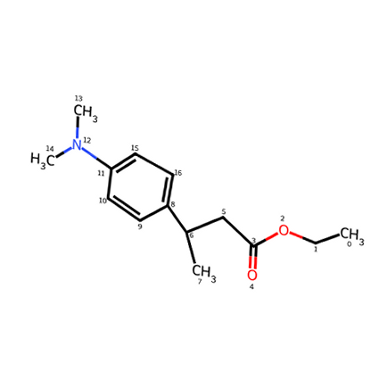 CCOC(=O)CC(C)c1ccc(N(C)C)cc1